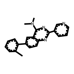 Cc1ccccc1-c1ccc2nc(-c3cccnc3)nc(N(C)C)c2c1